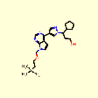 C[Si](C)(C)CCOCn1ccc2c(-c3cnn(C(CCO)C4CCCC4)c3)ncnc21